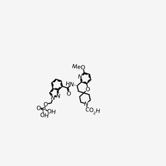 COc1ccc2c(n1)[C@@H](NC(=O)c1cccc3cn(COP(=O)(O)O)nc13)CC1(CCN(C(=O)O)CC1)O2